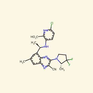 Cc1cc([C@@H](C)Nc2ccc(Cl)nc2C(=O)O)c2nc(N3CCC(F)(F)[C@@H]3C)c(C#N)nc2c1